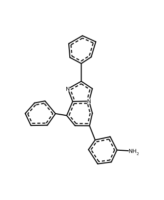 Nc1cccc(-c2cc(-c3ccccc3)c3nc(-c4ccccc4)cn3c2)c1